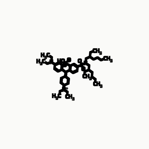 CCCCC(CC)CN(CC(CC)CCCC)S(=O)(=O)c1ccc(C(=C2C=CC(=[N+](CC)CC)C=C2)c2ccc(N(CC)CC)cc2)c(S(=O)(=O)O)c1